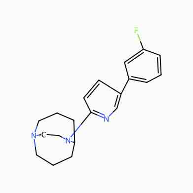 Fc1cccc(-c2ccc(N3CCN4CCCC3CCC4)nc2)c1